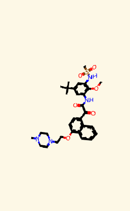 COc1c(NC(=O)C(=O)c2ccc(OCCN3CCN(C)CC3)c3ccccc23)cc(C(C)(C)C)cc1NS(C)(=O)=O